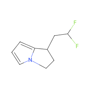 FC(F)CC1CCn2cccc21